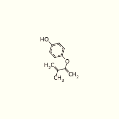 C=C(C)C(=C)Oc1ccc(O)cc1